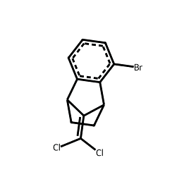 ClC(Cl)=C1C2CCC1c1c(Br)cccc12